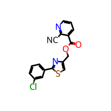 N#Cc1ncccc1C(=O)OCc1csc(-c2cccc(Cl)c2)n1